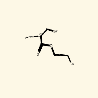 CC(=O)N[C@@H](CS)C(=O)OCCS